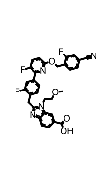 COCCn1c(Cc2ccc(-c3nc(OCc4ccc(C#N)cc4F)ccc3F)cc2F)nc2ccc(C(=O)O)cc21